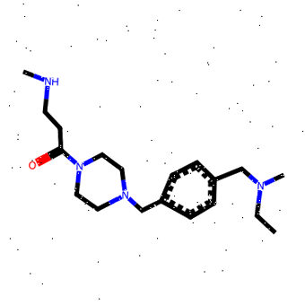 CCN(C)Cc1ccc(CN2CCN(C(=O)CCNC)CC2)cc1